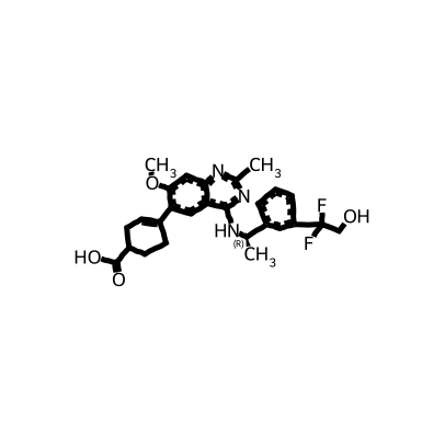 COc1cc2nc(C)nc(N[C@H](C)c3cccc(C(F)(F)CO)c3)c2cc1C1=CCC(C(=O)O)CC1